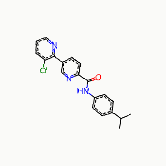 CC(C)c1ccc(NC(=O)c2ccc(-c3ncccc3Cl)cn2)cc1